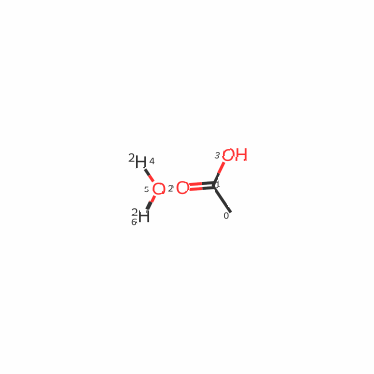 CC(=O)O.[2H]O[2H]